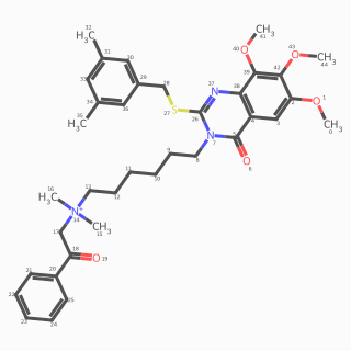 COc1cc2c(=O)n(CCCCCC[N+](C)(C)CC(=O)c3ccccc3)c(SCc3cc(C)cc(C)c3)nc2c(OC)c1OC